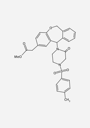 COC(=O)Cc1ccc2c(c1)C(N1CCN(S(=O)(=O)c3ccc(C)cc3)CC1=O)c1ccccc1CO2